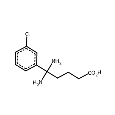 NC(N)(CCCC(=O)O)c1cccc(Cl)c1